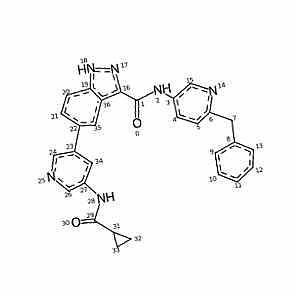 O=C(Nc1ccc(Cc2ccccc2)nc1)c1n[nH]c2ccc(-c3cncc(NC(=O)C4CC4)c3)cc12